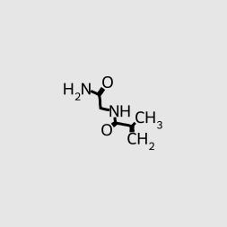 C=C(C)C(=O)NCC(N)=O